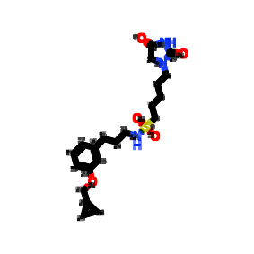 O=C1CN(CCCCCS(=O)(=O)NCCCc2cccc(OCC3CC3)c2)C(=O)N1